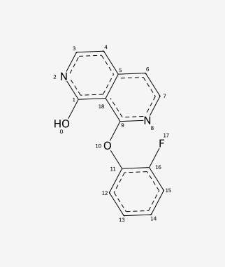 Oc1nccc2ccnc(Oc3ccccc3F)c12